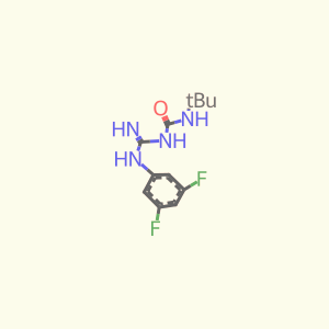 CC(C)(C)NC(=O)NC(=N)Nc1cc(F)cc(F)c1